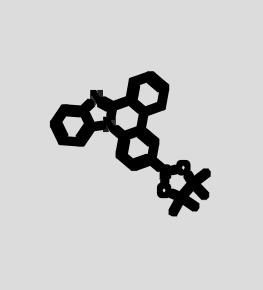 CC1(C)OB(c2ccc3c(c2)C2CC=CC=C2c2nc4ccccc4n2-3)OC1(C)C